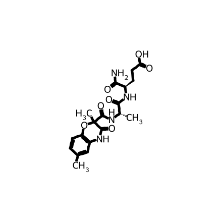 Cc1ccc2c(c1)NC(=O)C(C)(C(=O)N[C@@H](C)C(=O)N[C@H](CCC(=O)O)C(N)=O)O2